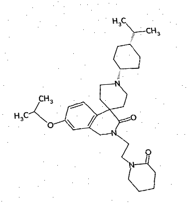 CC(C)Oc1ccc2c(c1)CN(CCN1CCCCC1=O)C(=O)C21CCN([C@H]2CC[C@@H](C(C)C)CC2)CC1